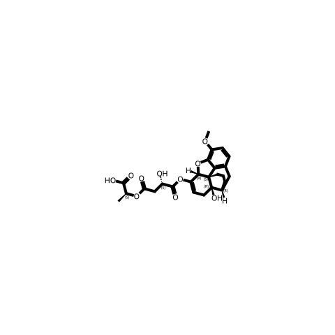 COc1ccc2c3c1O[C@H]1C(OC(=O)[C@@H](O)CC(=O)O[C@@H](C)C(=O)O)=CC[C@@]4(O)[C@H](CCC[C@]314)C2